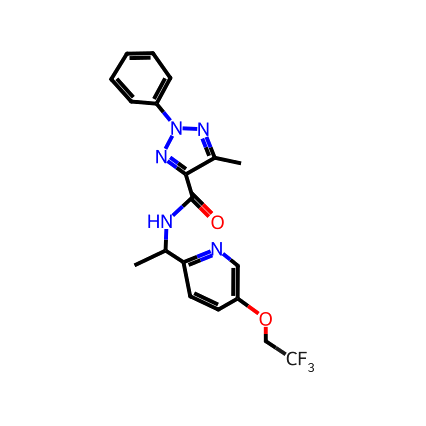 Cc1nn(-c2ccccc2)nc1C(=O)NC(C)c1ccc(OCC(F)(F)F)cn1